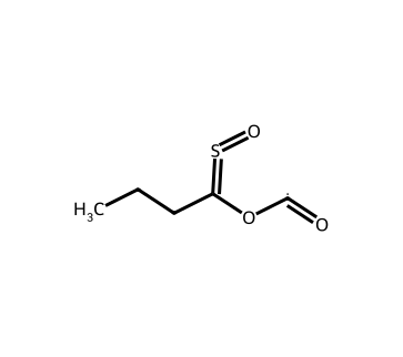 CCCC(O[C]=O)=S=O